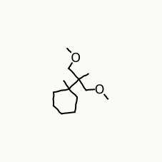 COCC(C)(COC)C1(C)CCCCC1